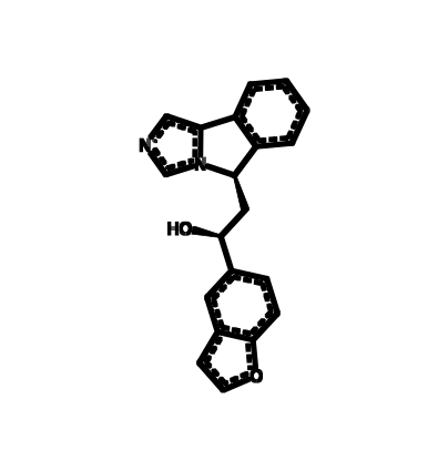 O[C@@H](C[C@@H]1c2ccccc2-c2cncn21)c1ccc2occc2c1